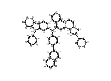 c1ccc(-c2nc3ccc4c5ccccc5c(N(c5ccc(-c6ccc7ccccc7c6)cc5)c5ccc6c7ccccc7n(-c7ccccc7)c6c5)cc4c3o2)cc1